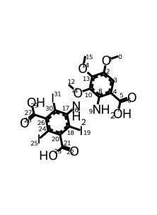 COc1cc(C(=O)O)c(N)c(OC)c1OC.Nc1c(I)c(C(=O)O)c(I)c(C(=O)O)c1I